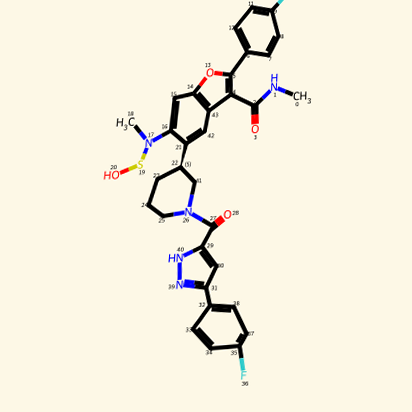 CNC(=O)c1c(-c2ccc(F)cc2)oc2cc(N(C)SO)c([C@@H]3CCCN(C(=O)c4cc(-c5ccc(F)cc5)n[nH]4)C3)cc12